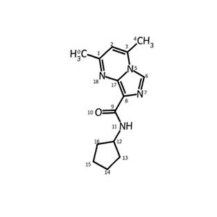 Cc1cc(C)n2cnc(C(=O)NC3CCCC3)c2n1